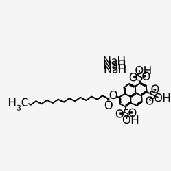 CCCCCCCCCCCCCCCC(=O)Oc1cc(S(=O)(=O)O)c2ccc3c(S(=O)(=O)O)cc(S(=O)(=O)O)c4ccc1c2c43.[NaH].[NaH].[NaH]